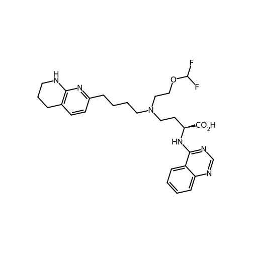 O=C(O)[C@H](CCN(CCCCc1ccc2c(n1)NCCC2)CCOC(F)F)Nc1ncnc2ccccc12